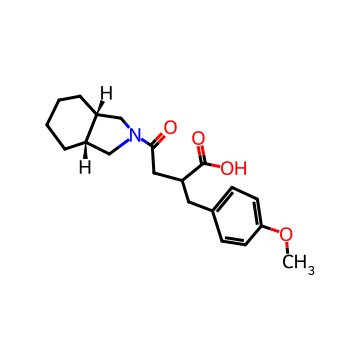 COc1ccc(CC(CC(=O)N2C[C@H]3CCCC[C@H]3C2)C(=O)O)cc1